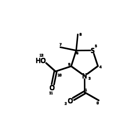 CC(=O)N1CSC(C)(C)C1C(=O)O